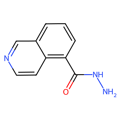 NNC(=O)c1cccc2cnccc12